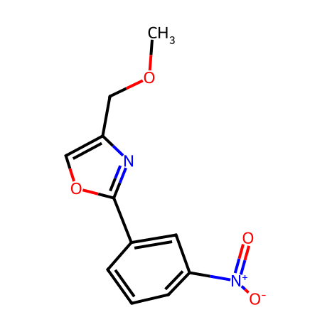 COCc1coc(-c2cccc([N+](=O)[O-])c2)n1